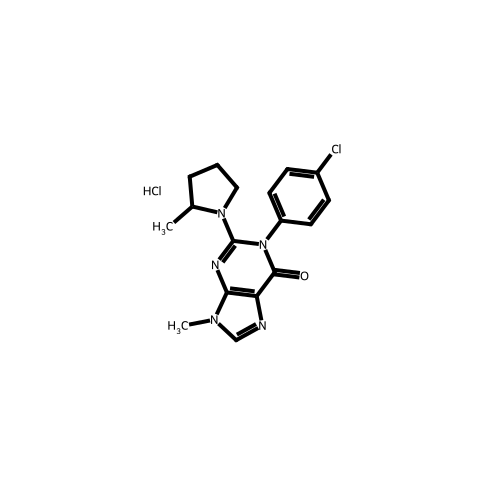 CC1CCCN1c1nc2c(ncn2C)c(=O)n1-c1ccc(Cl)cc1.Cl